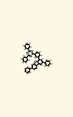 c1ccc(-c2ccc3c(c2)sc2c(-c4cccc(-c5nc(-c6ccccc6)nc(-c6ccccc6)n5)c4)cc(-c4ccccc4)cc23)cc1